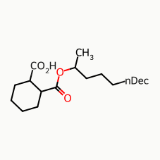 CCCCCCCCCCCCCC(C)OC(=O)C1CCCCC1C(=O)O